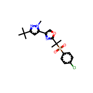 Cn1nc(C(C)(C)C)cc1-c1coc(C(C)(C)S(=O)(=O)c2ccc(Cl)cc2)n1